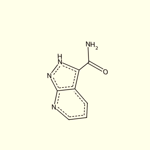 NC(=O)c1[nH]nc2ncccc12